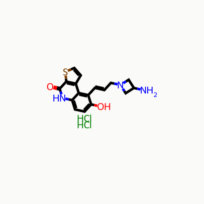 Cl.Cl.NC1CN(CC=Cc2c(O)ccc3[nH]c(=O)c4sccc4c23)C1